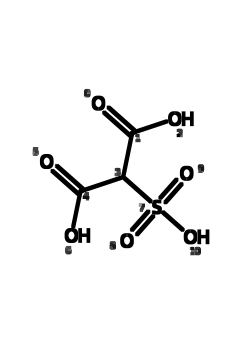 O=C(O)C(C(=O)O)S(=O)(=O)O